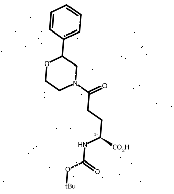 CC(C)(C)OC(=O)N[C@@H](CCC(=O)N1CCOC(c2ccccc2)C1)C(=O)O